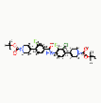 CC(C)(C)OC(=O)N1CC=C(c2ccc(C(=O)Nc3ccc(C4=CCN(C(=O)OC(C)(C)C)CC4)c(Cl)c3F)cc2F)CC1